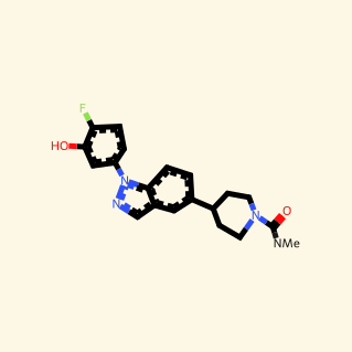 CNC(=O)N1CCC(c2ccc3c(cnn3-c3ccc(F)c(O)c3)c2)CC1